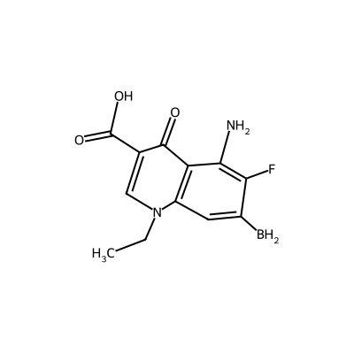 Bc1cc2c(c(N)c1F)c(=O)c(C(=O)O)cn2CC